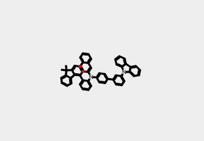 CC1(C)c2ccccc2-c2c(-c3ccccc3N(c3ccc(-c4cccc(-n5c6ccccc6c6ccccc65)c4)cc3)c3ccc4ccccc4c3)cccc21